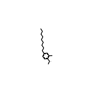 C[CH]c1ccc(CCCCCCCCC)cc1C